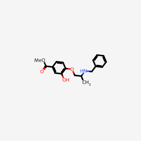 COC(=O)c1ccc(OCC(C)NCc2ccccc2)c(O)c1